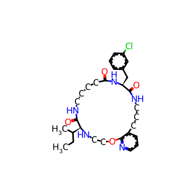 CCC(C)[C@@H]1NCCOc2ncccc2CCCNC(=O)[C@H](Cc2cccc(Cl)c2)NC(=O)CCCCNC1=O